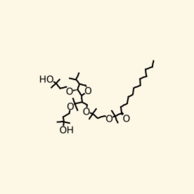 CCCCCCCCCCCC(=O)C(C)(C)OCCC(C)(C)OCC(C1OCC(C(C)C)[C@@H]1OCCC(C)(C)O)C(C)(C)OCCC(C)(C)O